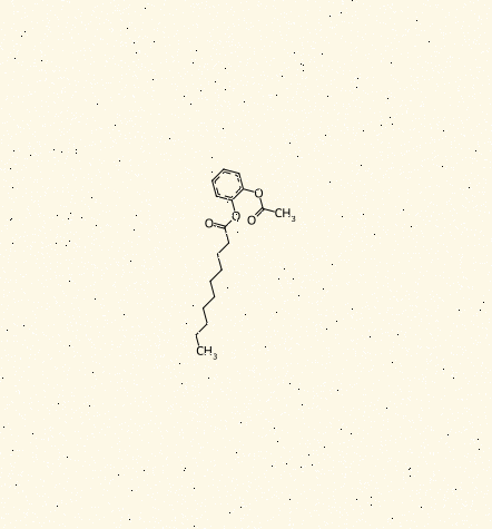 CCCCCCCCCC(=O)Oc1ccccc1OC(C)=O